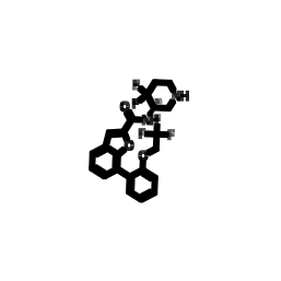 O=C(N[C@@H]1CNCCC1(F)F)c1cc2cccc(-c3ccccc3OCC(F)(F)F)c2o1